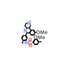 COc1cc2c(cc1OC)C1CN(C)CCC1N=C2c1ccc(C)c(NS(=O)(=O)c2ccc(C)cc2)c1